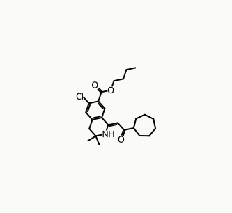 CCCCOC(=O)c1cc2c(cc1Cl)CC(C)(C)N/C2=C\C(=O)C1CCCCCC1